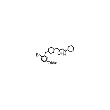 COc1ccc(Br)c(CC2CCN(CC(O)CNC3CCCCC3)CC2)c1